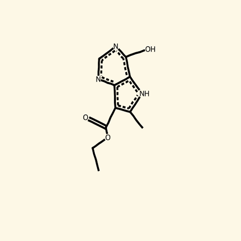 CCOC(=O)c1c(C)[nH]c2c(O)ncnc12